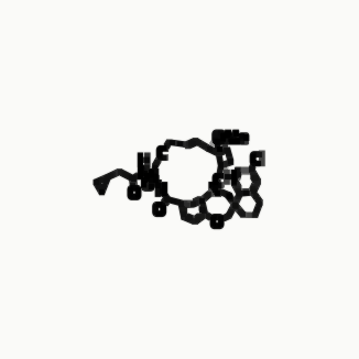 CO[C@H]1/C=C/CCCS(=O)(NC(=O)CC2CC2)=NC(=O)c2ccc3c(c2)N(C[C@@H]2CC[C@H]21)C[C@@]1(CCCc2cc(Cl)ccc21)CO3